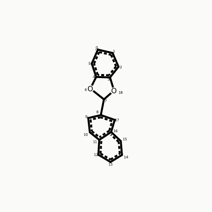 [c]1ccc2c(c1)OC(c1ccc3ccccc3c1)O2